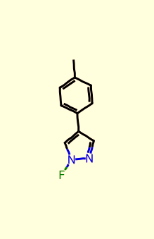 Cc1ccc(-c2cnn(F)c2)cc1